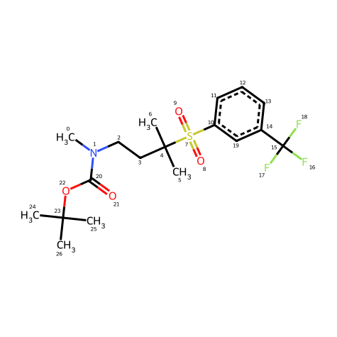 CN(CCC(C)(C)S(=O)(=O)c1cccc(C(F)(F)F)c1)C(=O)OC(C)(C)C